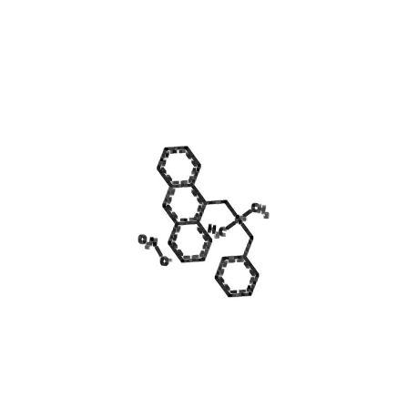 C[N+](C)(Cc1ccccc1)Cc1c2ccccc2cc2ccccc12.O=[N+]([O-])[O-]